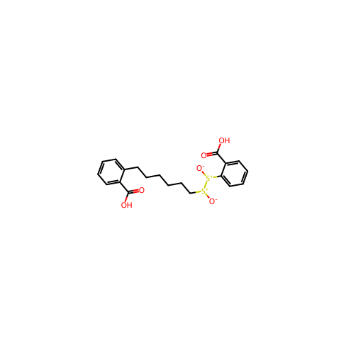 O=C(O)c1ccccc1CCCCCC[S+]([O-])[S+]([O-])c1ccccc1C(=O)O